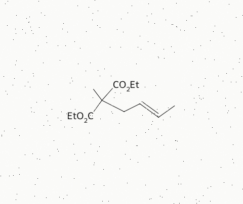 C/C=C/CC(C)(C(=O)OCC)C(=O)OCC